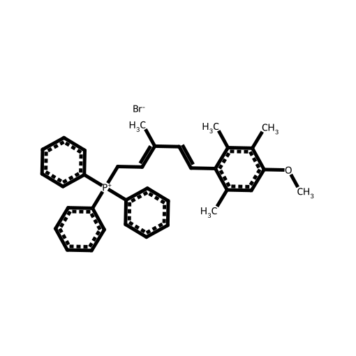 COc1cc(C)c(C=CC(C)=CC[P+](c2ccccc2)(c2ccccc2)c2ccccc2)c(C)c1C.[Br-]